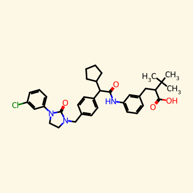 CC(C)(C)C(Cc1cccc(NC(=O)C(c2ccc(CN3CCN(c4cccc(Cl)c4)C3=O)cc2)C2CCCC2)c1)C(=O)O